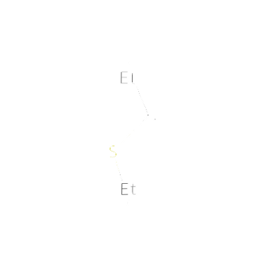 C[CH]SCCC